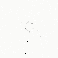 COc1c(O)ccc(CO)c1C